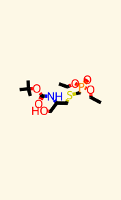 CCOP(=O)(CSCC(CO)NC(=O)OC(C)(C)C)OCC